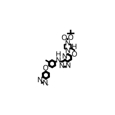 Cc1cc(Nc2ncnc3cc4c(nc23)N2CCN(C(=O)OC(C)(C)C)C[C@H]2CO4)ccc1Oc1ccc2c(c1)ncn2C